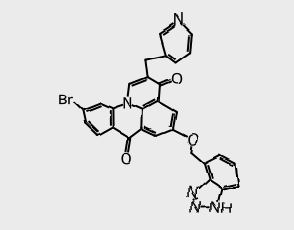 O=c1c(Cc2cccnc2)cn2c3cc(Br)ccc3c(=O)c3cc(OCc4cccc5[nH]nnc45)cc1c32